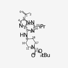 C=C(C)c1cnc2c(NC3CCN(C(=O)OC(C)(C)C)CC3)nc(C(C)C)nn12